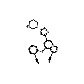 N#Cc1ccccc1Sc1cc(-c2cn([C@H]3CCCNC3)nn2)cn2ncc(C#N)c12